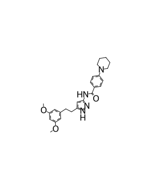 COc1cc(CCc2cc(NC(=O)c3ccc(N4CCCCC4)cc3)n[nH]2)cc(OC)c1